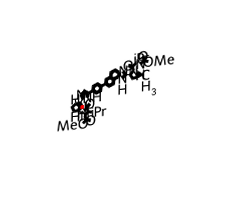 COC(=O)NC(C(=O)N1[C@@H]2CC[C@@H](C2)[C@H]1c1ncc(-c2ccc(-c3ccc4c(ccc5nc([C@@H]6CC7C([C@@H]7C)N6C(=O)[C@@H](NC(=O)OC)C(C)C)[nH]c54)c3)cc2)[nH]1)C(C)C